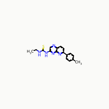 CCNC(=S)Nc1cnc2ccc(-c3ccc(C)cc3)nc2n1